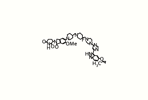 COc1cc2c(cc1N1CCC(CN3CCC(F)(CN4CCN(c5cc(-c6[nH]nc7ccc(OC8(C)CC8)cc67)ncn5)CC4)CC3)CC1)CN(C1CCC(=O)NC1=O)C2=O